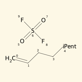 C=CCCC(C)CCC.O=S(=O)(F)F